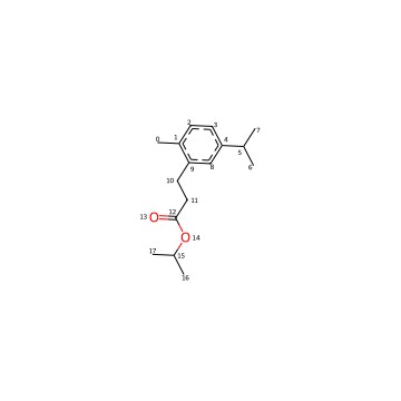 Cc1ccc(C(C)C)cc1CCC(=O)OC(C)C